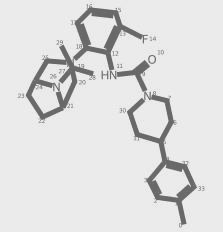 Cc1ccc(C2CCN(C(=O)Nc3c(F)cccc3N3CC4CCC(C3)N4C(C)C)CC2)cc1